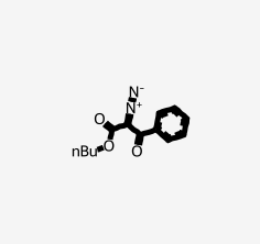 CCCCOC(=O)C(=[N+]=[N-])C(=O)c1ccccc1